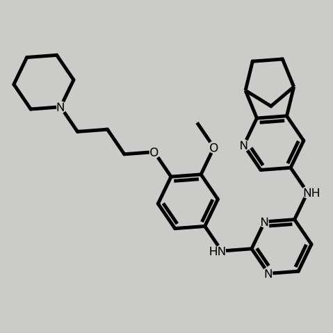 COc1cc(Nc2nccc(Nc3cnc4c(c3)C3CCC4C3)n2)ccc1OCCCN1CCCCC1